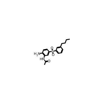 CCCCc1cccc(S(=O)(=O)c2ccc(N)c(NC(C)=O)c2)c1